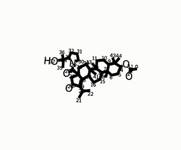 CC(=O)OC1CCC2(C)C(CCC3(C)C2CCC2C4=C(C(C)C)C(=O)CC4(C(=O)N4CCCC4C(C)(C)O)CCC23C)C1(C)C